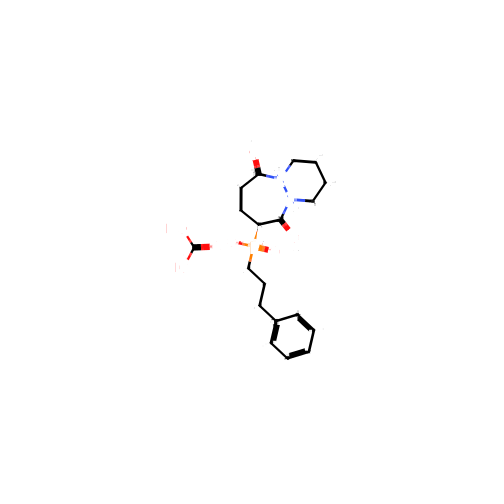 O=C(O)O.O=C1CC[C@H](P(=O)(O)CCCc2ccccc2)C(=O)N2CCCCN12